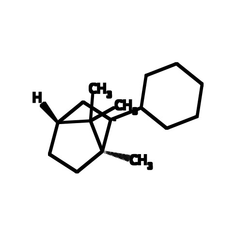 CC1(C)[C@@H]2CC[C@]1(C)[C](C1CCCCC1)C2